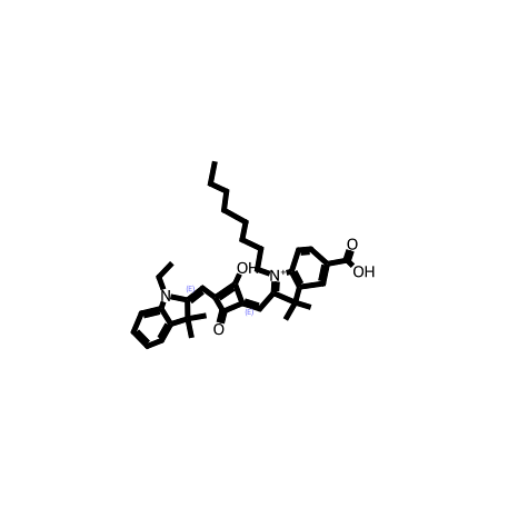 CCCCCCCC[N+]1=C(/C=C2/C(=O)C(/C=C3/N(CC)c4ccccc4C3(C)C)=C2O)C(C)(C)c2cc(C(=O)O)ccc21